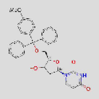 COc1ccc(C(OC[C@H]2O[C@@H](n3ccc(=O)[nH]c3=O)CC2O)(c2ccccc2)c2ccccc2)cc1